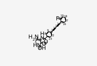 C[C@@H](N)[C@H](NC(=O)c1ccc(C#CC#Cc2ccccc2F)cc1)C(=O)NO